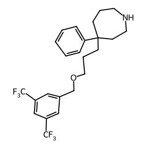 FC(F)(F)c1cc(COCCCC2(c3ccccc3)CCCNCC2)cc(C(F)(F)F)c1